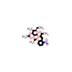 CC[C@H]1O[C@@H](O/C(=C\c2ccccc2[N+](=O)[O-])C(C)=O)[C@H](OC(C)=O)[C@@H](OC(C)=O)C1C